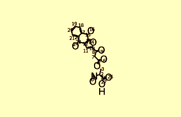 O=NC(COC(=O)CC(=O)c1cc2c(o1)C(=O)c1ccccc1C2=O)C(=O)O